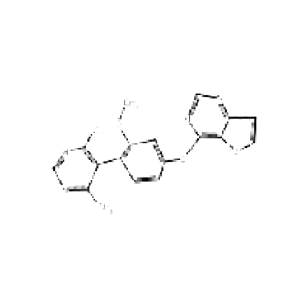 COc1cc(Oc2ncnc3ccsc23)ccc1-c1c(C)ncnc1C